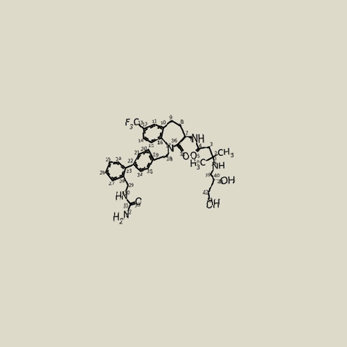 CC(C)(CC(=O)N[C@@H]1CCc2cc(C(F)(F)F)ccc2N(Cc2ccc(-c3ccccc3CNC(N)=O)cc2)C1=O)NC[C@H](O)CO